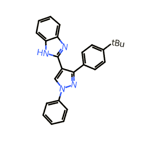 CC(C)(C)c1ccc(-c2nn(-c3ccccc3)cc2-c2nc3ccccc3[nH]2)cc1